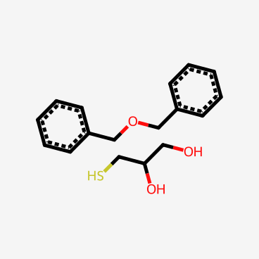 OCC(O)CS.c1ccc(COCc2ccccc2)cc1